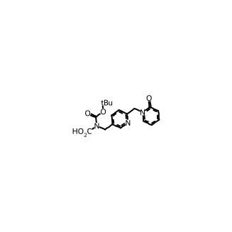 CC(C)(C)OC(=O)N(Cc1ccc(Cn2ccccc2=O)nc1)C(=O)O